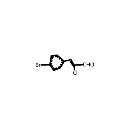 O=CC(Cl)=Cc1ccc(Br)cc1